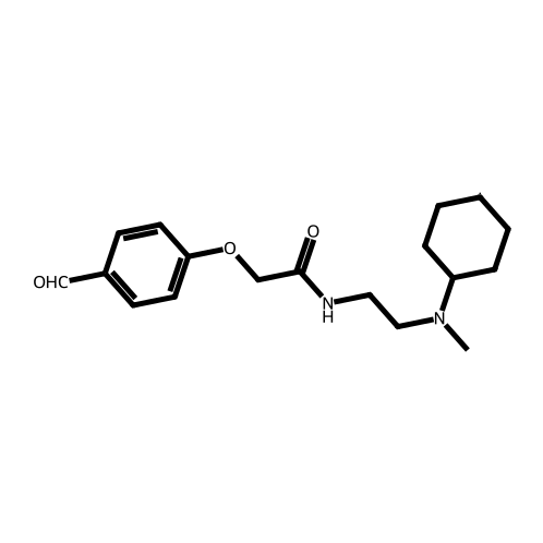 CN(CCNC(=O)COc1ccc(C=O)cc1)C1CC[CH]CC1